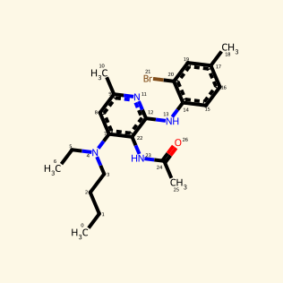 CCCCN(CC)c1cc(C)nc(Nc2ccc(C)cc2Br)c1NC(C)=O